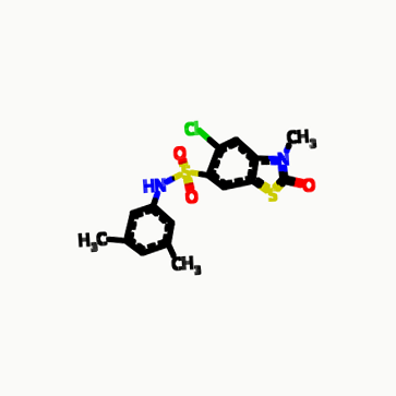 Cc1cc(C)cc(NS(=O)(=O)c2cc3sc(=O)n(C)c3cc2Cl)c1